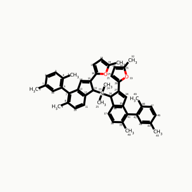 Cc1ccc(C)c(-c2c(C)ccc3c2C=C(c2ccc(C)o2)C3[Si](C)(C)C2C(c3ccc(C)o3)=Cc3c2ccc(C)c3-c2cc(C)ccc2C)c1